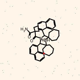 NC(=O)C1(C(=O)N(C(c2cccc3ccccc23)C2(O)CCCCCC2)C(c2cccc3ccccc23)C2(O)CCCCCC2)CCC1